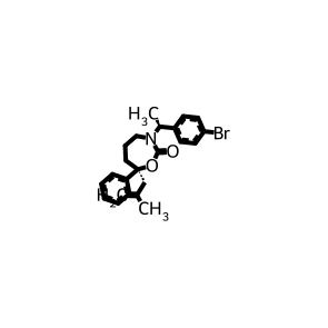 C=C(C)C[C@]1(c2ccccc2)CCCN([C@@H](C)c2ccc(Br)cc2)C(=O)O1